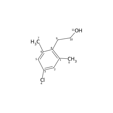 Cc1cc(Cl)cc(C)c1CCO